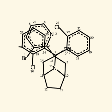 N#CC1(c2ncccc2Br)CC2CCC(C1)N2C(c1ccccc1Cl)c1ccccc1Cl